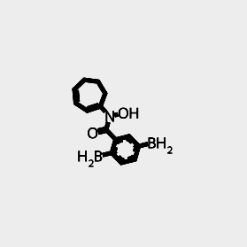 Bc1ccc(B)c(C(=O)N(O)C2=CC=CCCC2)c1